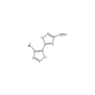 CCCCCCc1csc(-c2sccc2Br)c1